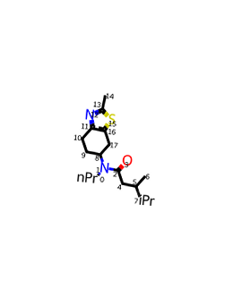 CCCN(C(=O)CC(C)C(C)C)C1CCc2nc(C)sc2C1